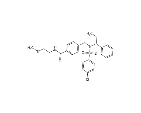 CCC(c1ccccc1)N(Cc1ccc(C(=O)NCCSC)cc1)S(=O)(=O)c1ccc(Cl)cc1